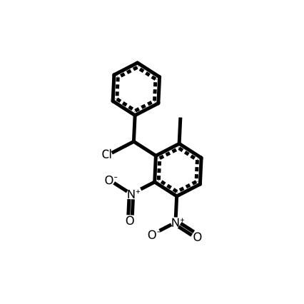 Cc1ccc([N+](=O)[O-])c([N+](=O)[O-])c1C(Cl)c1ccccc1